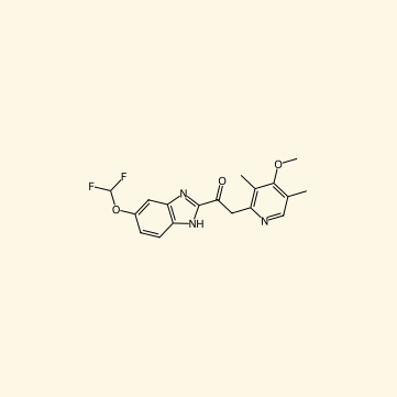 COc1c(C)cnc(CC(=O)c2nc3cc(OC(F)F)ccc3[nH]2)c1C